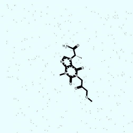 COCC(=O)Cn1c(=O)c2c(ncn2[C@@H](C)C(N)=O)n(C)c1=O